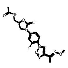 CON=C(C)c1cn(-c2ccc(N3CC(CNC(C)=O)OC3=O)cc2F)nn1